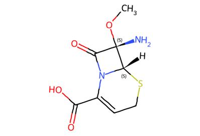 CO[C@@]1(N)C(=O)N2C(C(=O)O)=CCS[C@H]21